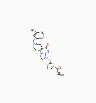 COC(=O)c1cccc(CN2CCn3c2nc(=O)c2c3C(F)(F)CN(Cc3cccc(C#N)c3)C2)c1